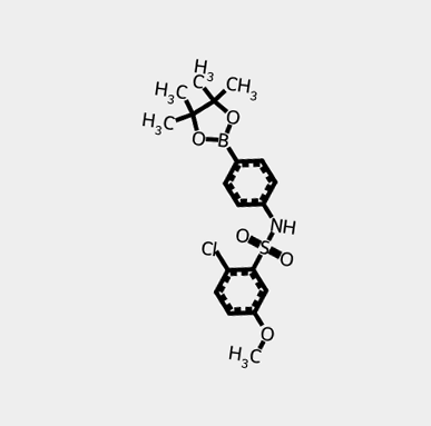 COc1ccc(Cl)c(S(=O)(=O)Nc2ccc(B3OC(C)(C)C(C)(C)O3)cc2)c1